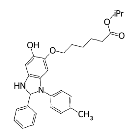 Cc1ccc(N2c3cc(OCCCCCC(=O)OC(C)C)c(O)cc3NC2c2ccccc2)cc1